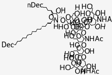 CCCCCCCCCCCCC/C=C/[C@@H](O)[C@H](CO[C@@H]1OC(CO)[C@@H](O[C@@H]2OC(CO)[C@H](O[C@@H]3OC(CO)[C@H](O)[C@H](O[C@@H]4OC(CO)[C@H](O)[C@H](O[C@]5(C(=O)O)CC(O)[C@@H](NC(C)=O)C([C@H](O)[C@H](O)CO)O5)C4O)C3NC(C)=O)[C@H](O[C@]3(C(=O)O)CC(O)[C@@H](NC(C)=O)C([C@H](O)[C@H](O)CO)O3)C2O)[C@H](O)C1O)NC(=O)CCCCCCCCCCCCCCCCCCCCCCCCC